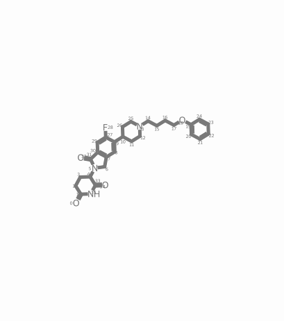 O=C1CCC(N2Cc3cc(C4CCN(CCCCOc5ccccc5)CC4)c(F)cc3C2=O)C(=O)N1